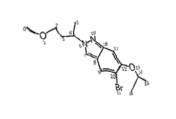 COCCC(C)n1cc2cc(Br)c(OC(C)C)cc2n1